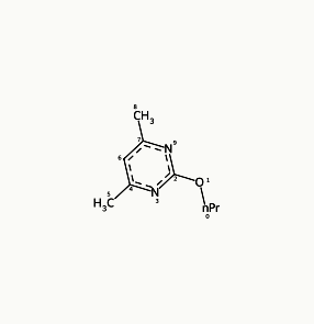 CCCOc1nc(C)cc(C)n1